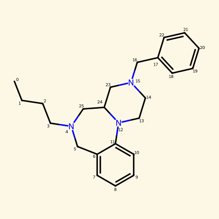 CCCCN1Cc2ccccc2N2CCN(Cc3ccccc3)CC2C1